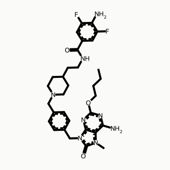 CCCCOc1nc(N)c2c(n1)n(Cc1ccc(CN3CCC(CCNC(=O)c4cc(F)c(N)c(F)c4)CC3)cc1)c(=O)n2C